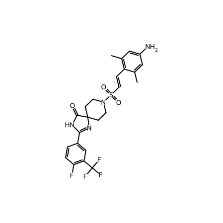 Cc1cc(N)cc(C)c1/C=C/S(=O)(=O)N1CCC2(CC1)N=C(c1ccc(F)c(C(F)(F)F)c1)NC2=O